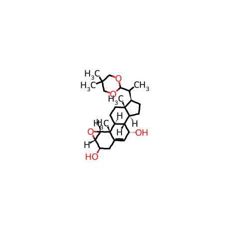 CC(C1OCC(C)(C)CO1)[C@H]1CC[C@H]2[C@@H]3[C@H](O)C=C4C[C@@H](O)[C@@H]5O[C@@H]5[C@]4(C)[C@H]3CC[C@]12C